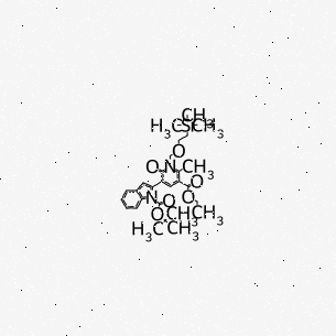 CCOC(=O)c1cc(-c2cc3ccccc3n2C(=O)OC(C)(C)C)c(=O)n(COCC[Si](C)(C)C)c1C